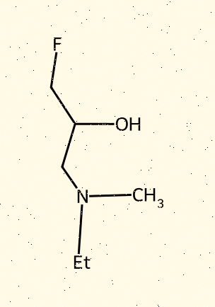 CCN(C)CC(O)CF